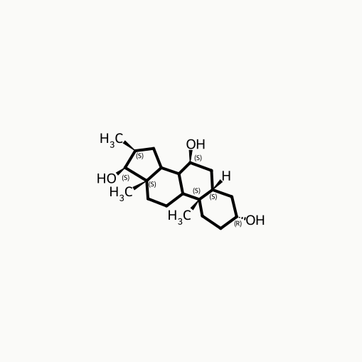 C[C@H]1CC2C3C(CC[C@]2(C)[C@H]1O)[C@@]1(C)CC[C@@H](O)C[C@H]1C[C@@H]3O